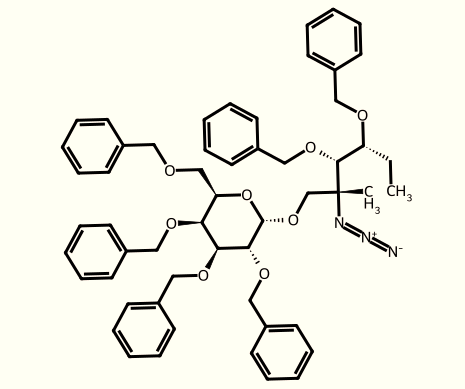 CC[C@@H](OCc1ccccc1)[C@@H](OCc1ccccc1)[C@@](C)(CO[C@H]1O[C@H](COCc2ccccc2)[C@H](OCc2ccccc2)[C@H](OCc2ccccc2)[C@H]1OCc1ccccc1)N=[N+]=[N-]